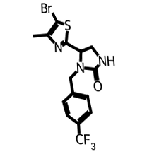 Cc1nc(C2CNC(=O)N2Cc2ccc(C(F)(F)F)cc2)sc1Br